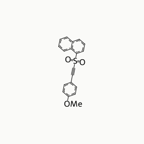 COc1ccc(C#CS(=O)(=O)c2cccc3ccccc23)cc1